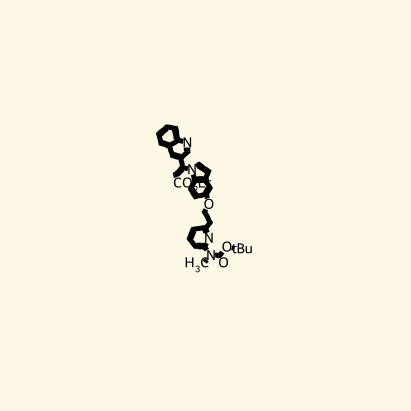 CCOC(=O)C=C(c1cnc2ccccc2c1)n1ccc2cc(OCCc3cccc(N(C)C(=O)OC(C)(C)C)n3)ccc21